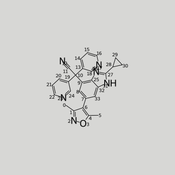 Cc1noc(C)c1-c1cc(C(C#N)(c2cccnc2)c2cccnc2)c2nc(C3CC3)[nH]c2c1